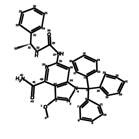 COc1nn(C(c2ccccc2)(c2ccccc2)c2ccccc2)c2cc(NC(=O)N[C@H](C)c3ccccc3)nc(C(N)=O)c12